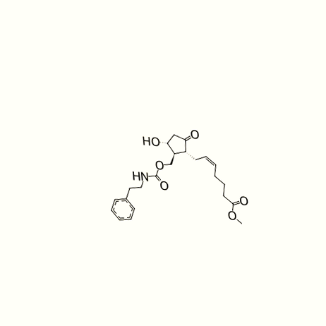 COC(=O)CCC/C=C\C[C@H]1C(=O)C[C@@H](O)[C@@H]1COC(=O)NCCc1ccccc1